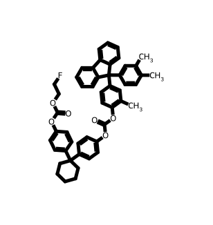 Cc1ccc(C2(c3ccc(OC(=O)Oc4ccc(C5(c6ccc(OC(=O)OCCF)cc6)CCCCC5)cc4)c(C)c3)c3ccccc3-c3ccccc32)cc1C